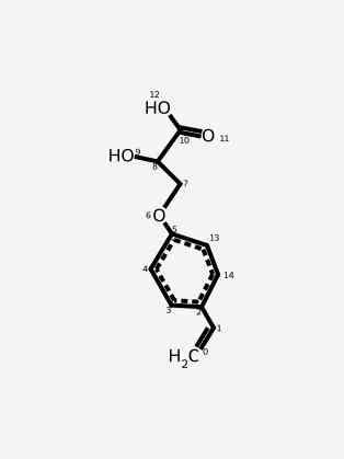 C=Cc1ccc(OCC(O)C(=O)O)cc1